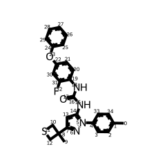 Cc1ccc(-n2nc(C3(C)CSC3)cc2NC(=O)Nc2ccc(Oc3ccccc3)cc2F)cc1